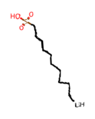 CCCCCCCCCCCS(=O)(=O)O.[LiH]